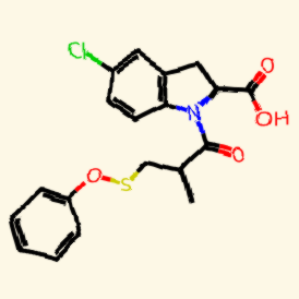 CC(CSOc1ccccc1)C(=O)N1c2ccc(Cl)cc2CC1C(=O)O